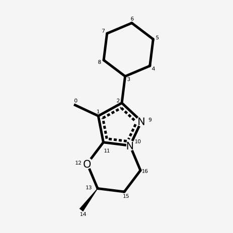 Cc1c(C2CCCCC2)nn2c1O[C@H](C)CC2